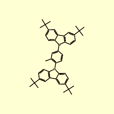 Cc1cc(-n2c3ccc(C(C)(C)C)cc3c3cc(C(C)(C)C)ccc32)ccc1-n1c2ccc(C(C)(C)C)cc2c2cc(C(C)(C)C)ccc21